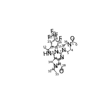 CC(=O)N1CCN(c2nc(NC(C)c3ccc(F)c(C(F)(F)F)c3)c3c(n2)[C@H](C=O)N(C(C)C)C3)CC1